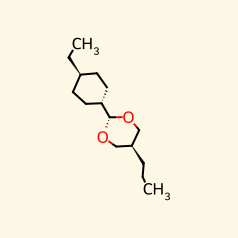 CCC[C@H]1CO[C@H]([C@H]2CC[C@H](CC)CC2)OC1